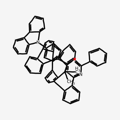 CC1(C)c2ccccc2C2(c3ccccc3-c3ccccc32)c2cccc(-c3ccccc3-c3nc(-c4ccccc4)nc(-c4ccc(-n5c6ccccc6c6ccccc65)cc4)n3)c21